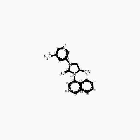 N#CC1CN(c2cncc(C(F)(F)F)c2)C(=O)N1c1cncc2ccccc12